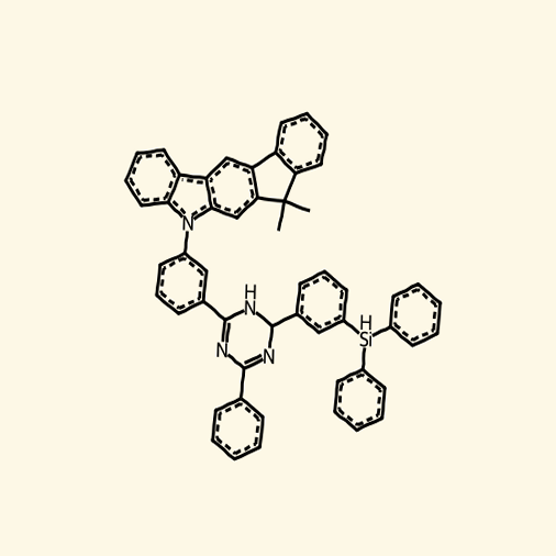 CC1(C)c2ccccc2-c2cc3c4ccccc4n(-c4cccc(C5=NC(c6ccccc6)=NC(c6cccc([SiH](c7ccccc7)c7ccccc7)c6)N5)c4)c3cc21